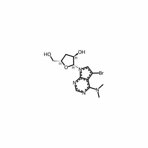 CN(C)c1ncnc2c1c(Br)cn2[C@@H]1O[C@H](CO)C[C@H]1O